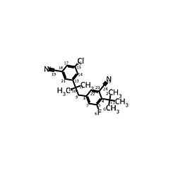 CC(C)(C)c1c(F)cc(CC(C)(C)c2cc(Cl)cc(C#N)c2)cc1C#N